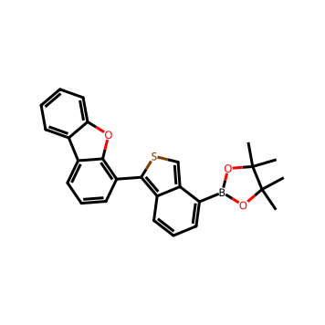 CC1(C)OB(c2cccc3c(-c4cccc5c4oc4ccccc45)scc23)OC1(C)C